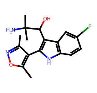 Cc1noc(C)c1-c1[nH]c2ccc(F)cc2c1C(O)C(C)(C)N